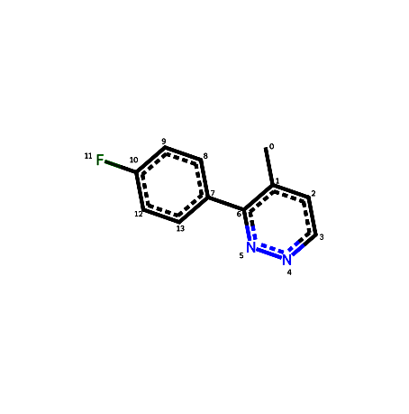 Cc1ccnnc1-c1ccc(F)cc1